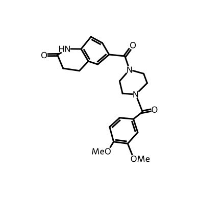 COc1ccc(C(=O)N2CCN(C(=O)c3ccc4c(c3)CCC(=O)N4)CC2)cc1OC